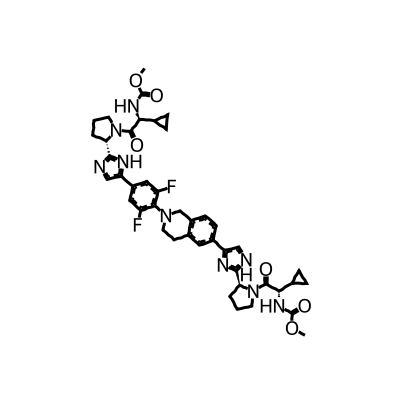 COC(=O)N[C@H](C(=O)N1CCC[C@H]1c1nc(-c2ccc3c(c2)CCN(c2c(F)cc(-c4cnc([C@@H]5CCCN5C(=O)[C@@H](NC(=O)OC)C5CC5)[nH]4)cc2F)C3)c[nH]1)C1CC1